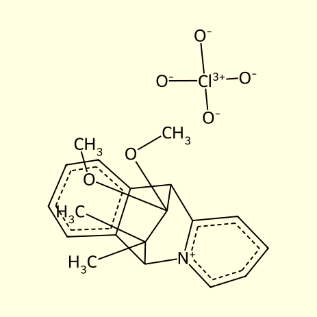 COC1(OC)C2c3ccccc3C([n+]3ccccc32)C1(C)C.[O-][Cl+3]([O-])([O-])[O-]